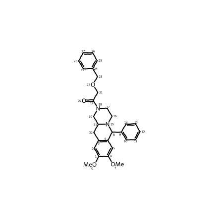 COc1cc2c(cc1OC)C(c1ccccc1)N1CCN(C(=O)COCc3ccccc3)CC1C2